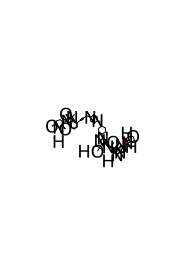 Cn1c(=O)n(C2CCC(=O)NC2=O)c2cccc(C#CCN3CCN(C[C@H]4CC[C@H](n5cc(NC(=O)c6cnn7ccc(N8C[C@H]9C[C@@H]8CO9)nc67)c(C(C)(C)O)n5)CC4)CC3)c21